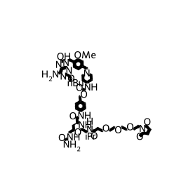 CCCCOc1nc(N)c2nc(O)n(Cc3ccc(CN4CCC(NC(=O)OCc5ccc(NC(=O)[C@H](CCCNC(N)=O)NC(=O)[C@@H](NC(=O)CCOCCOCCOCCN6C(=O)C=CC6=O)C(C)C)cc5)CC4)cc3OC)c2n1